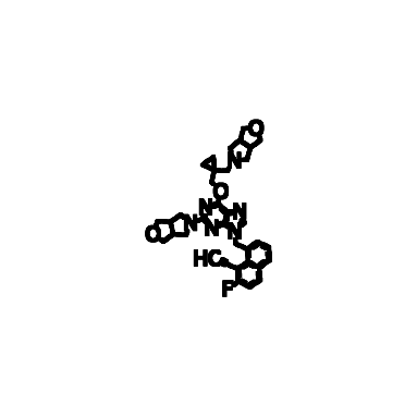 C#Cc1c(F)ccc2cccc(Cn3cnc4c(OCC5(CN6CC7COCC7C6)CC5)nc(N5CC6COCC6C5)nc43)c12